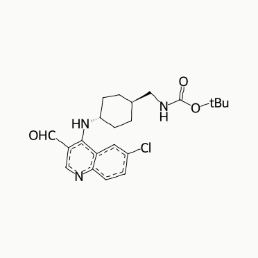 CC(C)(C)OC(=O)NC[C@H]1CC[C@H](Nc2c(C=O)cnc3ccc(Cl)cc23)CC1